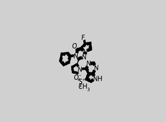 C[S@+]([O-])c1c[nH]c2ncnc(N3CCC[C@H]3c3nn4ccc(F)c4c(=O)n3-c3ccccc3)c12